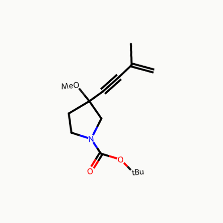 C=C(C)C#CC1(OC)CCN(C(=O)OC(C)(C)C)C1